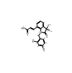 O=C(O)C=Cc1cccc2c1N(Cc1ccc(Cl)cc1Cl)C(=O)C2(F)F